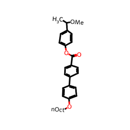 CCCCCCCCOc1ccc(-c2ccc(C(=O)Oc3ccc(C(C)OC)cc3)cc2)cc1